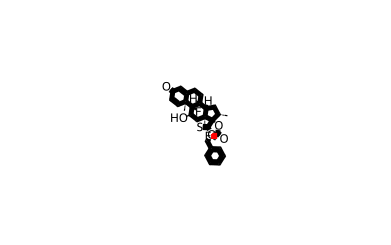 CCC(=O)O[C@]1(C(=S)OCc2ccccc2)[C@@H](C)C[C@H]2[C@@H]3CCC4=CC(=O)C=C[C@]4(C)[C@@]3(F)[C@@H](O)C[C@@]21C